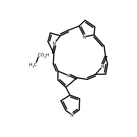 C1=CC2=NC1=CC1=NC(=CC3=NC(=CC4=NC(=C2)C=C4)C=C3c2ccncc2)C=C1.CC(=O)O